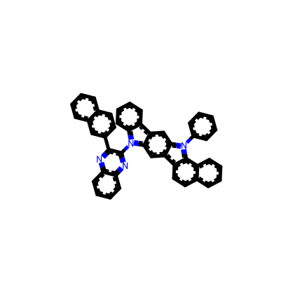 c1ccc(-n2c3cc4c5ccccc5n(-c5nc6ccccc6nc5-c5ccc6ccccc6c5)c4cc3c3ccc4ccccc4c32)cc1